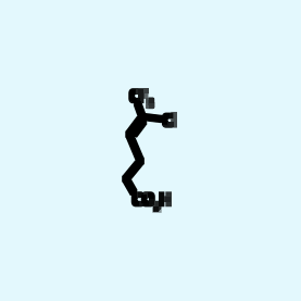 O=C(O)CC/C=C(\Cl)C(F)(F)F